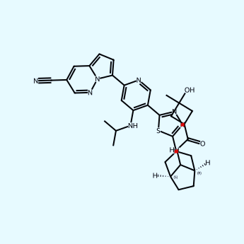 CC(C)Nc1cc(-c2ccc3cc(C#N)cnn23)ncc1-c1nnc(N2C[C@H]3CC[C@@H](C2)C3NC(=O)C2CC(C)(O)C2)s1